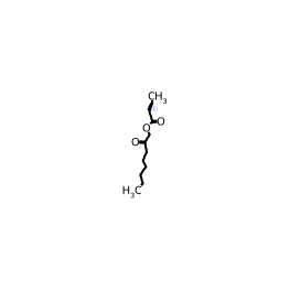 C/C=C/C(=O)OCC(=O)CCCCCC